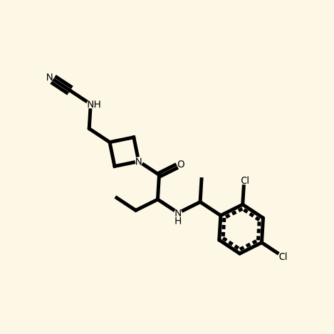 CCC(NC(C)c1ccc(Cl)cc1Cl)C(=O)N1CC(CNC#N)C1